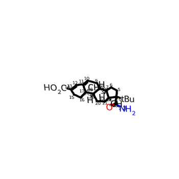 CC(C)(C)C1(C(N)=O)CC[C@H]2[C@@H]3CC=C4C=C(C(=O)O)CC[C@]4(C)[C@@H]3CC[C@@]21C